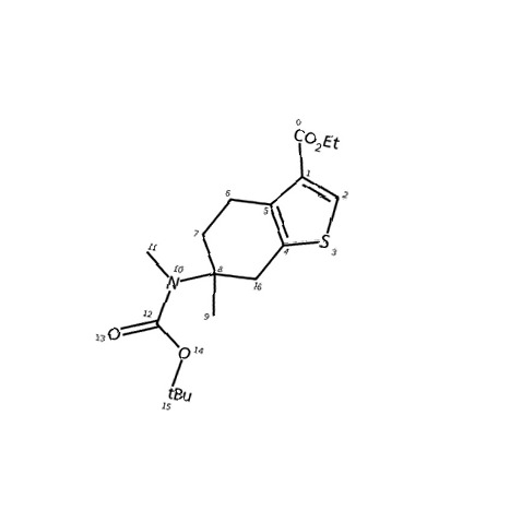 CCOC(=O)c1csc2c1CCC(C)(N(C)C(=O)OC(C)(C)C)C2